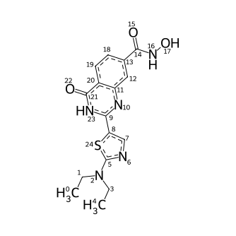 CCN(CC)c1ncc(-c2nc3cc(C(=O)NO)ccc3c(=O)[nH]2)s1